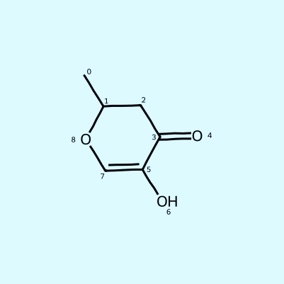 CC1CC(=O)C(O)=CO1